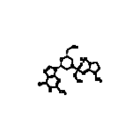 Cc1nc2c(ncn2[C@H]2CN(P(=S)(N=C3N(C)CCN3C)OC(C)(C)C)C[C@@H](CC(C)(C)C)O2)c(=O)[nH]1